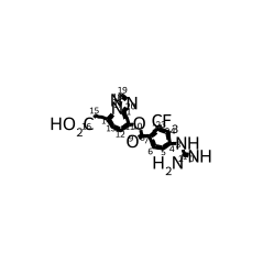 N=C(N)Nc1ccc(C(=O)Oc2ccc(CC(=O)O)n3ncnc23)c(C(F)(F)F)c1